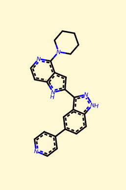 c1cc(-c2ccc3[nH]nc(-c4cc5c(N6CCCCC6)nccc5[nH]4)c3c2)ccn1